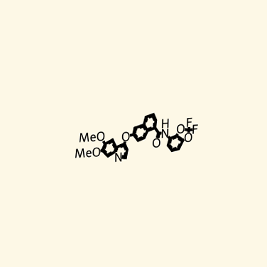 COc1cc2nccc(Oc3ccc4c(C(=O)Nc5cccc6c5OC(F)(F)O6)cccc4c3)c2cc1OC